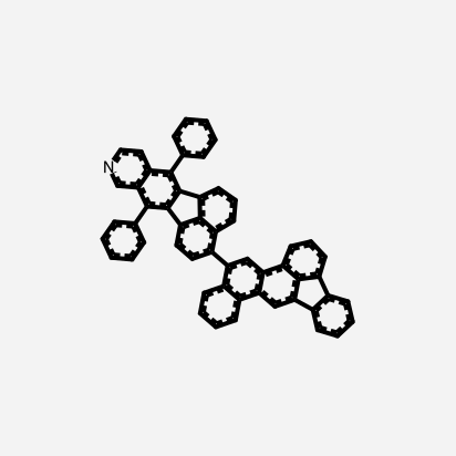 c1ccc(-c2c3c(c(-c4ccccc4)c4cnccc24)-c2ccc(-c4cc5c6cccc7c6c(cc5c5ccccc45)-c4ccccc4-7)c4cccc-3c24)cc1